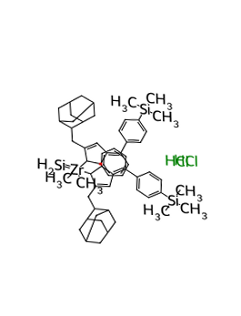 C[Si](C)(C)c1ccc(-c2cccc3c2C=C(CC2C4CC5CC(C4)CC2C5)[CH]3[Zr]([CH3])([CH3])(=[SiH2])[CH]2C(CC3C4CC5CC(C4)CC3C5)=Cc3c(-c4ccc([Si](C)(C)C)cc4)cccc32)cc1.Cl.Cl